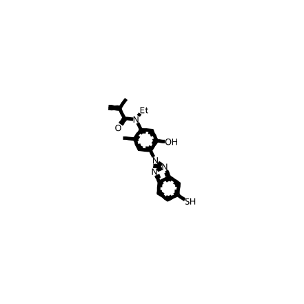 C=C(C)C(=O)N(CC)c1cc(O)c(-n2n3c4ccc(S)cc4n23)cc1C